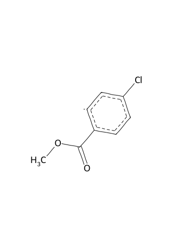 COC(=O)c1[c]cc(Cl)cc1